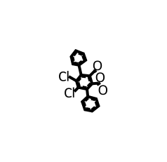 O=C1OC(=O)c2c1c(-c1ccccc1)c(Cl)c(Cl)c2-c1ccccc1